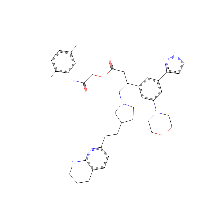 Cc1ccc(S(=O)(=O)O)cc1.NC(=O)COC(=O)CC(CN1CCC(CCc2ccc3c(n2)NCCC3)C1)c1cc(-c2ccn[nH]2)cc(N2CCOCC2)c1